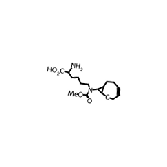 COC(=O)N(CCCCC(N)C(=O)O)C1C2CCC#CCCC21